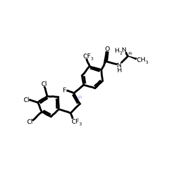 C[C@H](N)NC(=O)c1ccc(/C(F)=C/C(c2cc(Cl)c(Cl)c(Cl)c2)C(F)(F)F)cc1C(F)(F)F